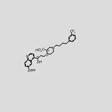 COc1ccc2nccc([C@H](O)CC[C@@H]3CCN(CCCCc4cccc(C(F)(F)F)c4)C[C@@H]3C(=O)O)c2c1